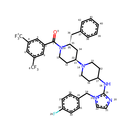 O=C(c1cc(C(F)(F)F)cc(C(F)(F)F)c1)N1CC[C@H](N2CCC(Nc3nccn3Cc3ccc(F)cc3)CC2)C[C@H]1Cc1ccccc1